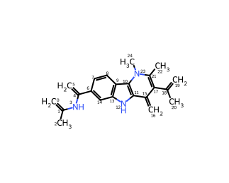 C=C(C)NC(=C)c1ccc2c3c([nH]c2c1)C(=C)C(C(=C)C)=C(C)N3C